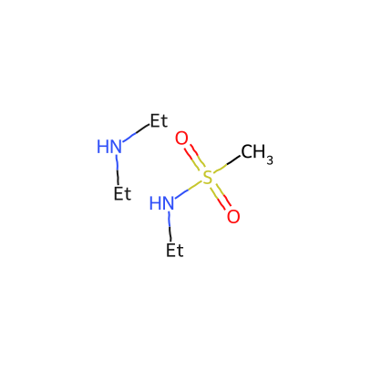 CCNCC.CCNS(C)(=O)=O